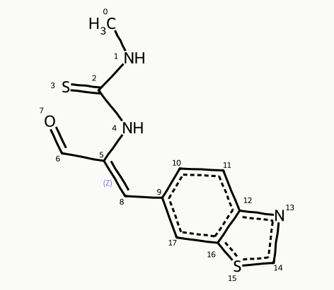 CNC(=S)N/C(C=O)=C\c1ccc2ncsc2c1